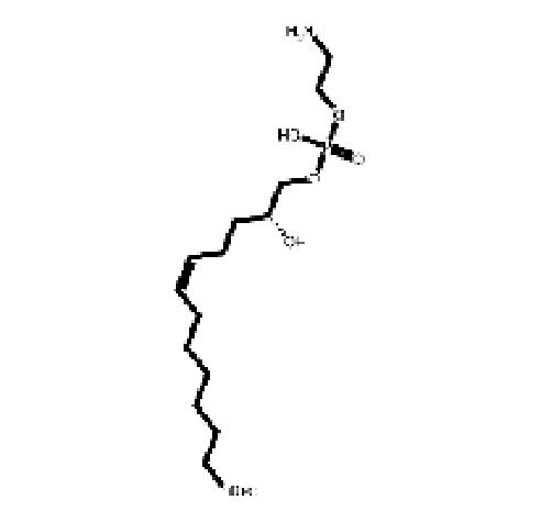 CCCCCCCCCCCCCCCC/C=C\CC[C@@H](O)COP(=O)(O)OCCN